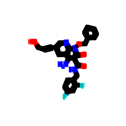 Nc1c(C(=O)NCc2ccc(F)cc2F)c(=O)n(OCc2ccccc2)c2ncc(C#CCO)cc12